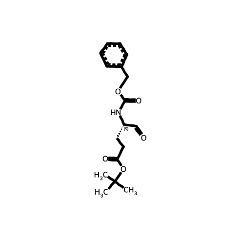 CC(C)(C)OC(=O)CC[C@@H](C=O)NC(=O)OCc1ccccc1